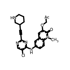 CC(=O)COc1cc2cc(Nc3nc(C#CC4CCCNC4)ncc3Cl)ccc2n(C)c1=O